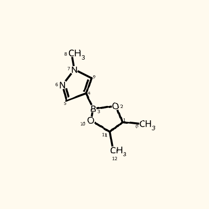 CC1OB(c2cnn(C)c2)OC1C